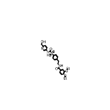 CCOc1ccc(C(=O)NCCc2ccc(S(=O)(=O)C(=O)Nc3ccc(CO)nc3)cc2)cc1OCC